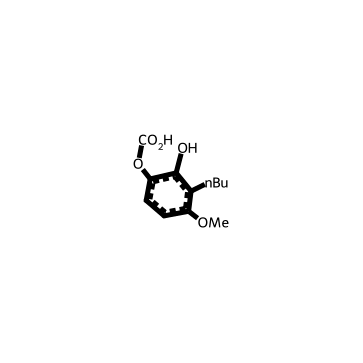 CCCCc1c(OC)ccc(OC(=O)O)c1O